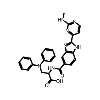 CNc1nccc(-c2nc3cc(C(=O)NC(CN(c4ccccc4)c4ccccc4)C(=O)O)ccc3[nH]2)n1